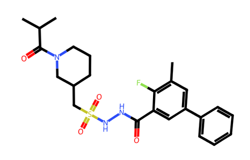 Cc1cc(-c2ccccc2)cc(C(=O)NNS(=O)(=O)CC2CCCN(C(=O)C(C)C)C2)c1F